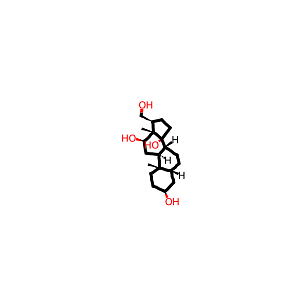 C[C@]12CC[C@H](O)C[C@H]1CC[C@@H]1[C@@H]2C[C@@H](O)[C@]2(C)[C@@H](CO)CC[C@]12O